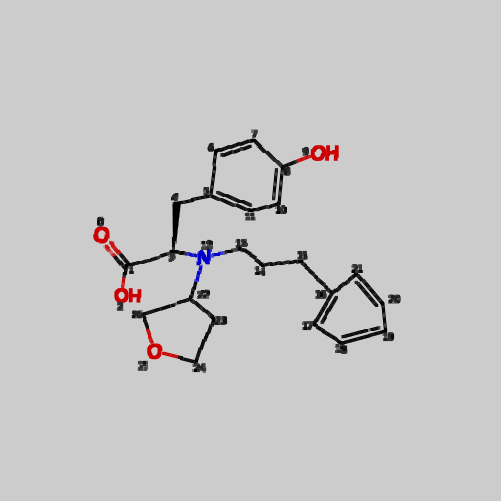 O=C(O)[C@@H](Cc1ccc(O)cc1)N(CCCc1ccccc1)C1CCOC1